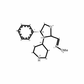 CON=CC1OC[C@@H](c2ccccc2)N1C1CCNCC1